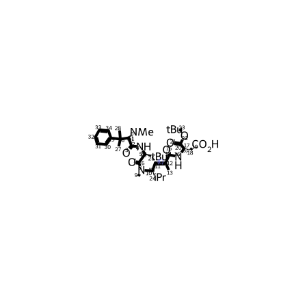 CN[C@H](C(=O)N[C@H](C(=O)N(C)[C@H](/C=C(\C)C(=O)N[C@@H](CC(=O)O)C(=O)OC(C)(C)C)C(C)C)C(C)(C)C)C(C)(C)c1ccccc1